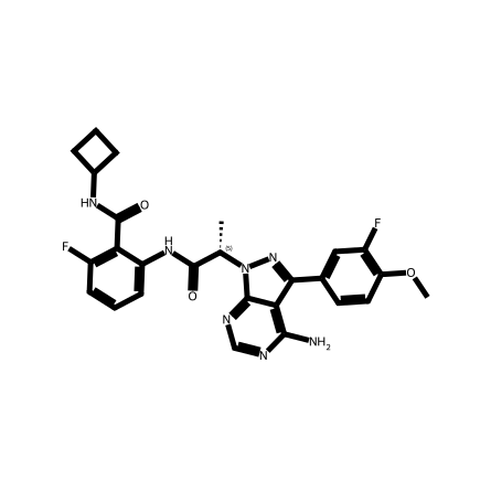 COc1ccc(-c2nn([C@@H](C)C(=O)Nc3cccc(F)c3C(=O)NC3CCC3)c3ncnc(N)c23)cc1F